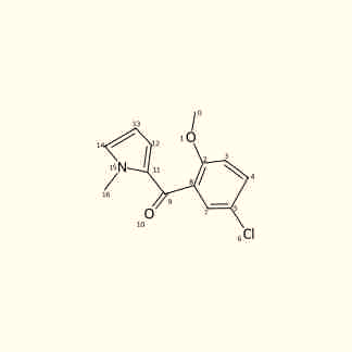 COc1ccc(Cl)cc1C(=O)c1cccn1C